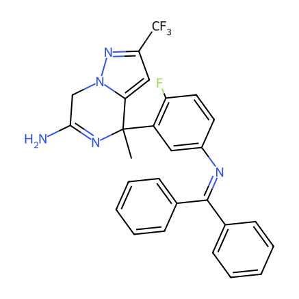 CC1(c2cc(N=C(c3ccccc3)c3ccccc3)ccc2F)N=C(N)Cn2nc(C(F)(F)F)cc21